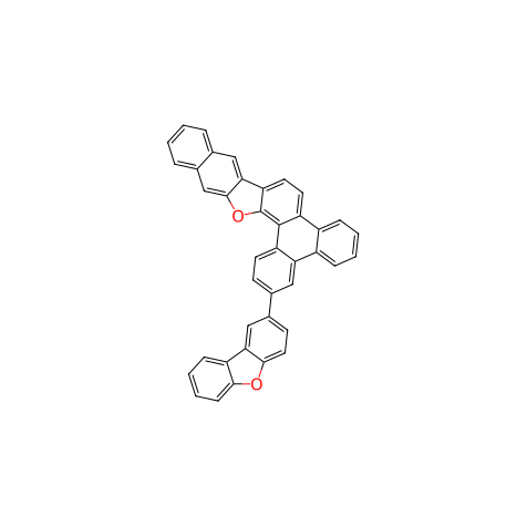 c1ccc2cc3c(cc2c1)oc1c3ccc2c3ccccc3c3cc(-c4ccc5oc6ccccc6c5c4)ccc3c21